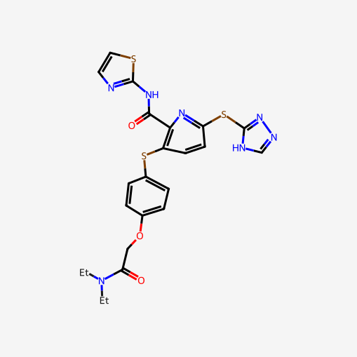 CCN(CC)C(=O)COc1ccc(Sc2ccc(Sc3nnc[nH]3)nc2C(=O)Nc2nccs2)cc1